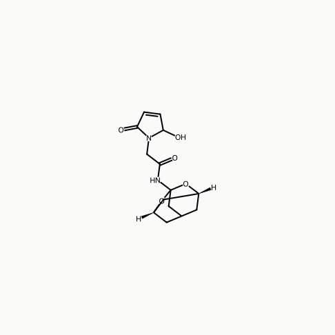 O=C(CN1C(=O)C=CC1O)NC12CC3C[C@H](C[C@H](C3)O1)O2